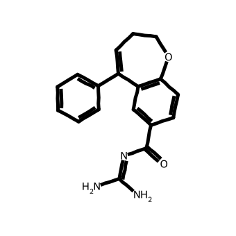 NC(N)=NC(=O)c1ccc2c(c1)C(c1ccccc1)=CCCO2